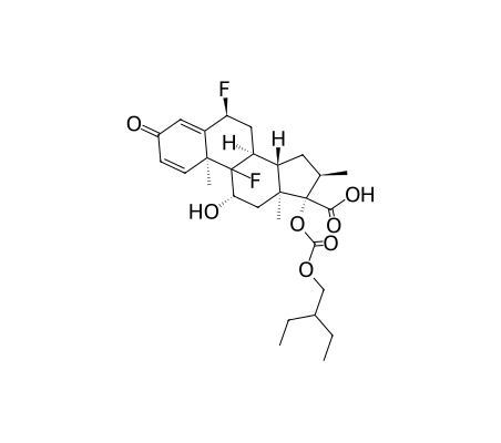 CCC(CC)COC(=O)O[C@@]1(C(=O)O)[C@H](C)C[C@H]2[C@@H]3C[C@H](F)C4=CC(=O)C=C[C@]4(C)C3(F)[C@@H](O)C[C@@]21C